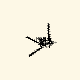 CCCCCCCCCCCCCC(=O)N[C@H]1[C@@H](OC(CC(=O)O)CC(=O)O)O[C@H](COC(=O)[C@H](CC(=O)O)NC(=O)CCCCCCCCCCCCC)[C@@H](O)[C@@H]1OC(=O)CCCCCCCCCCCCC